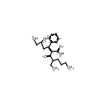 CCCCC(CC)C(=O)C(C(=O)O)=C(CC(O)CO)c1ccccc1